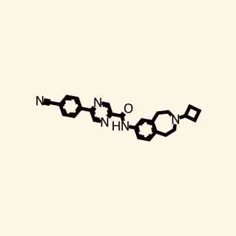 N#Cc1ccc(-c2cnc(C(=O)Nc3ccc4c(c3)CCN(C3CCC3)CC4)cn2)cc1